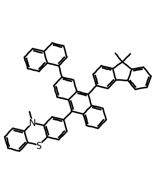 CN1c2ccccc2Sc2ccc(-c3c4ccccc4c(-c4ccc5c(c4)-c4ccccc4C5(C)C)c4cc(-c5cccc6ccccc56)ccc34)cc21